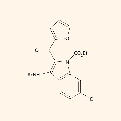 CCOC(=O)n1c(C(=O)c2ccco2)c(NC(C)=O)c2ccc(Cl)cc21